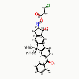 CCCCCCC1(CCCCCC)c2cc(C(=O)c3ccccc3C)ccc2-c2cc3c(cc21)C/C(=N/OC(=O)CCCl)C3=O